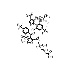 CS(=O)(=O)c1cc(C(F)(F)F)ccc1C(=O)c1cnoc1C1CC1.C[S+](C)C.Nc1c([N+](=O)[O-])cnn1-c1c(Cl)cc(C(F)(F)F)cc1Cl.O=C(O)CNCP(=O)([O-])O